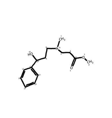 COC(=O)CCN(C)CCC(O)c1ccccc1